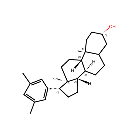 Cc1cc(C)cc([C@H]2CC[C@H]3[C@@H]4CCC5C[C@@H](O)CC[C@]5(C)[C@H]4CC[C@]23C)c1